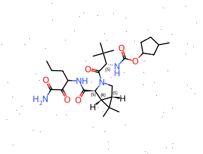 CCCC(NC(=O)[C@@H]1[C@@H]2[C@H](CN1C(=O)[C@@H](NC(=O)OC1CCC(C)C1)C(C)(C)C)C2(C)C)C(=O)C(N)=O